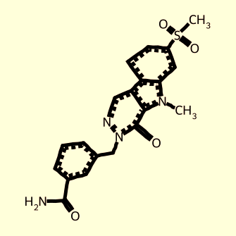 Cn1c2cc(S(C)(=O)=O)ccc2c2cnn(Cc3cccc(C(N)=O)c3)c(=O)c21